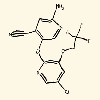 N#Cc1cc(N)ncc1Oc1ncc(Cl)cc1OCC(F)(F)F